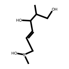 CB(O)C/C=C/C(O)C(C)CO